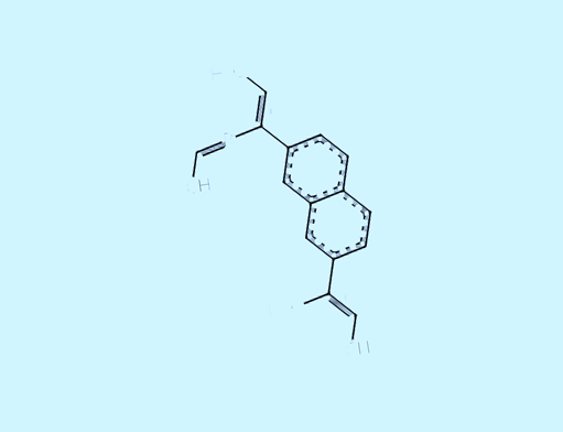 C/C=B\C(=C/C)c1ccc2ccc(/C(C)=C/C)cc2c1